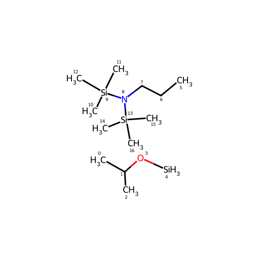 CC(C)O[SiH3].CCCN([Si](C)(C)C)[Si](C)(C)C